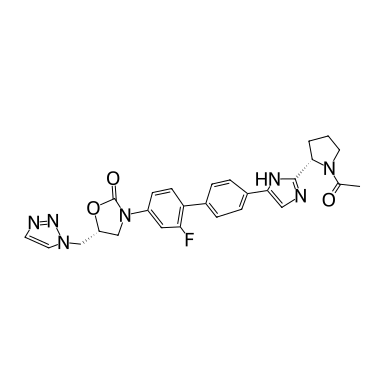 CC(=O)N1CCC[C@H]1c1ncc(-c2ccc(-c3ccc(N4C[C@H](Cn5ccnn5)OC4=O)cc3F)cc2)[nH]1